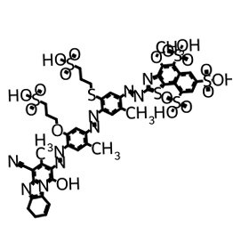 COc1c(S(=O)(=O)O)c2cc(S(=O)(=O)O)cc(S(=O)(=O)O)c2c2sc(N=Nc3cc(SCCCS(=O)(=O)O)c(N=Nc4cc(OCCCS(=O)(=O)O)c(N=Nc5c(C)c(C#N)c6nc7c(n6c5O)C=CCC7)cc4C)cc3C)nc12